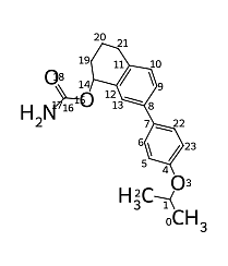 CC(C)Oc1ccc(-c2ccc3c(c2)C(OC(N)=O)CCC3)cc1